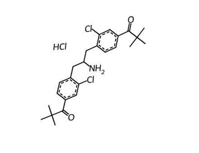 CC(C)(C)C(=O)c1ccc(CC(N)Cc2ccc(C(=O)C(C)(C)C)cc2Cl)c(Cl)c1.Cl